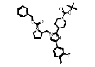 CC(C)(C)OC(=O)N1CCC(c2nc(-c3ccc(F)c(F)c3)cn2CC2CCCN2C(=O)OCc2ccccc2)CC1